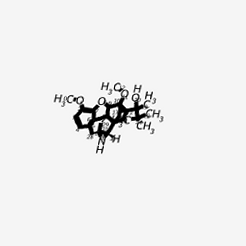 COc1ccc2c3c1OC1C4(OC)CCC5(CC4C(C)(O)C(C)(C)C)[C@@H]4N[C@]4(C2)C[C@]315